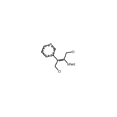 CCCCCC(CCl)=C(CCl)c1cccnc1